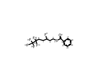 O=C(SCCC(F)CCC(F)(F)C(F)(F)F)c1ccccc1